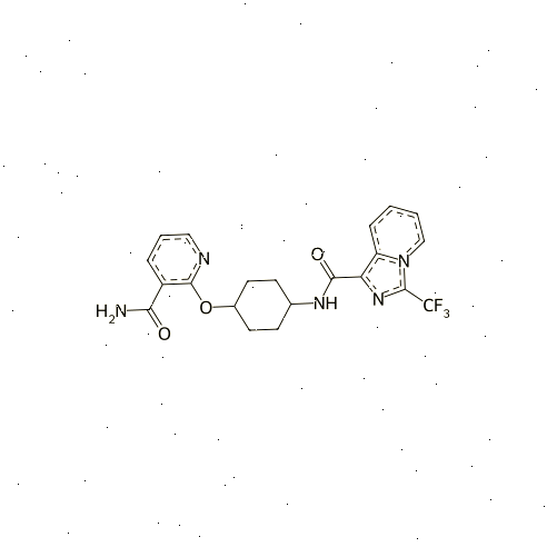 NC(=O)c1cccnc1OC1CCC(NC(=O)c2nc(C(F)(F)F)n3ccccc23)CC1